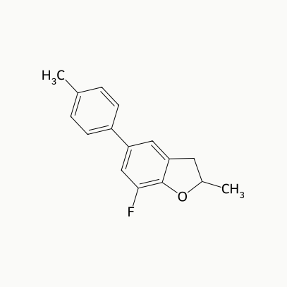 Cc1ccc(-c2cc(F)c3c(c2)CC(C)O3)cc1